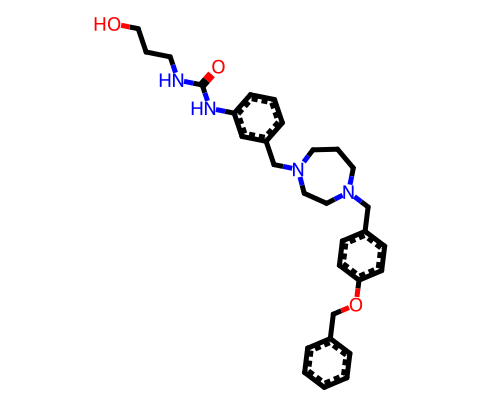 O=C(NCCCO)Nc1cccc(CN2CCCN(Cc3ccc(OCc4ccccc4)cc3)CC2)c1